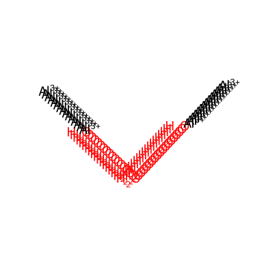 O.O.O.O.O.O.O.O.O.O.O.O.O.O.O.O.O.O.O.O.O.O.O.O.O.O.O.O.O.O.O.O.O.O.O.O.[Al+3].[Al+3].[Al+3].[Al+3].[Al+3].[Al+3].[Al+3].[Al+3].[Al+3].[Al+3].[Al+3].[Al+3].[Al+3].[Al+3].[Al+3].[Al+3].[Al+3].[Al+3].[Al+3].[Al+3].[Al+3].[Al+3].[Al+3].[Al+3].[Al+3].[Al+3].[Al+3].[Al+3].[Al+3]